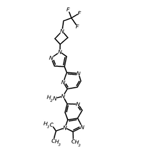 Cc1nc2cnc(N(N)c3ccnc(-c4cnn(C5CN(CC(F)(F)F)C5)c4)n3)cc2n1C(C)C